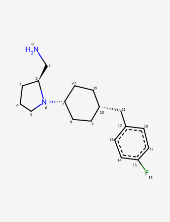 NC[C@@H]1CCCN1[C@H]1CC[C@@H](Cc2ccc(F)cc2)CC1